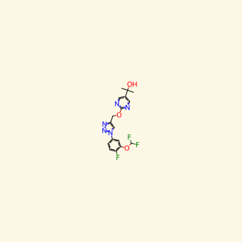 CC(C)(O)c1cnc(OCc2cn(-c3ccc(F)c(OC(F)F)c3)nn2)nc1